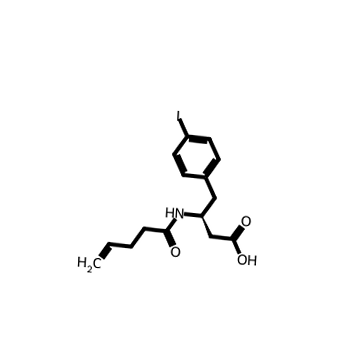 C=CCCC(=O)N[C@H](CC(=O)O)Cc1ccc(I)cc1